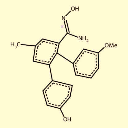 COc1cccc(-c2c(/C(N)=N/O)cc(C)cc2-c2ccc(O)cc2)c1